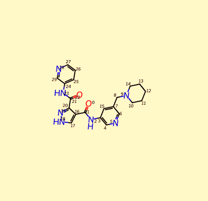 O=C(Nc1cncc(CN2CCCCC2)c1)c1c[nH]nc1C(=O)Nc1cccnc1